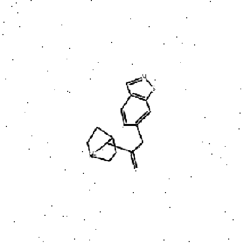 C=C(Cc1ccc2cnsc2c1)C1CN2CCC1CC2